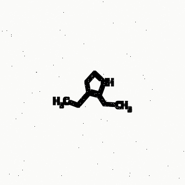 CCC1=C(CC)NCC1